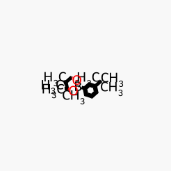 CC(C)(C)c1cccc(B2OCC(C)(C)C(C)(C)O2)c1